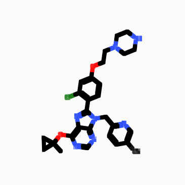 CC1(Oc2ncnc3c2nc(-c2ccc(OCCN4CCNCC4)cc2Cl)n3Cc2ccc(C#N)cn2)CC1